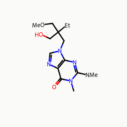 CCC(CO)(COC)Cn1cnc2c(=O)n(C)c(NC)nc21